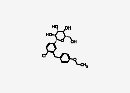 CCOc1ccc(Cc2cc([C@H]3O[C@@H](CO)[C@H](O)[C@@H](O)[C@@H]3O)ccc2Cl)cc1